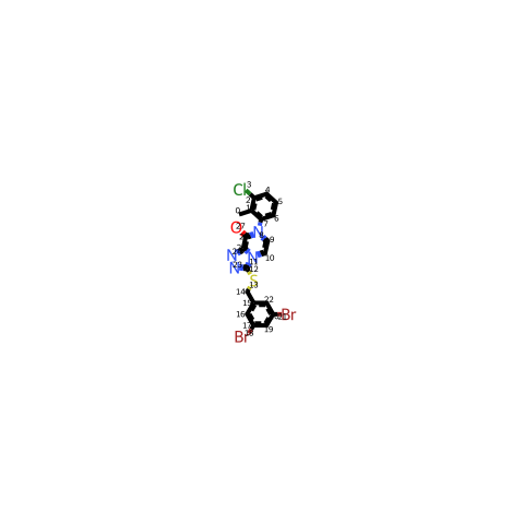 Cc1c(Cl)cccc1-n1ccn2c(SCc3cc(Br)cc(Br)c3)nnc2c1=O